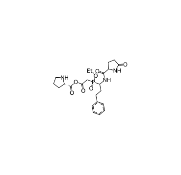 CCOP(=O)(CC(=O)OC(=O)[C@@H]1CCCN1)C(CCc1ccccc1)NC(=O)C1CCC(=O)N1